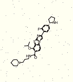 CC(C)Oc1c(C(=O)NCCCN2CCCCC2)ccc2c1sc1nc(-c3ccc([C@@H]4CCCN4)cc3F)cn12